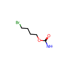 [NH]C(=O)OCCCCBr